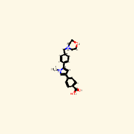 Cn1cc(-c2ccc(C(=O)O)cc2)cc1C1=CCC(CN2CCOCC2)C=C1